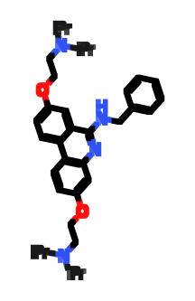 CC(C)N(CCOc1ccc2c(c1)nc(NCc1ccccc1)c1cc(OCCN(C(C)C)C(C)C)ccc12)C(C)C